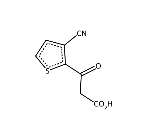 N#Cc1ccsc1C(=O)CC(=O)O